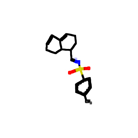 Cc1ccc(S(=O)(=O)/N=C/C2CCC=C3C=CCCC32)cc1